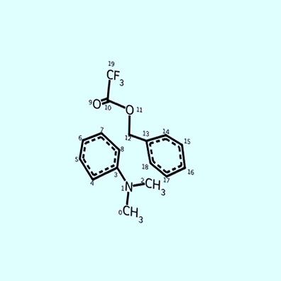 CN(C)c1ccccc1.O=C(OCc1ccccc1)C(F)(F)F